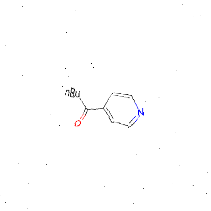 CCCCC(=O)c1ccncc1